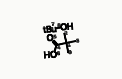 CC(C)(C)C(=O)O.CC(C)(C)O